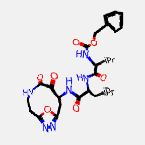 CC(C)CC(NC(=O)C(NC(=O)OCc1ccccc1)C(C)C)C(=O)NC1Cc2nnc(o2)CCNC(=O)C1=O